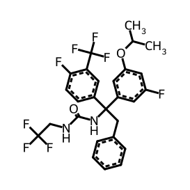 CC(C)Oc1cc(F)cc(C(Cc2ccccc2)(NC(=O)NCC(F)(F)F)c2ccc(F)c(C(F)(F)F)c2)c1